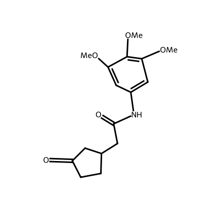 COc1cc(NC(=O)CC2CCC(=O)C2)cc(OC)c1OC